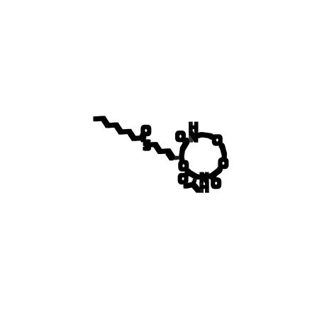 CCCCCCCC(=O)SCC/C=C/[C@@H]1CC(=O)NCCOCCOCC(=O)N[C@H](C(C)C)C(=O)O1